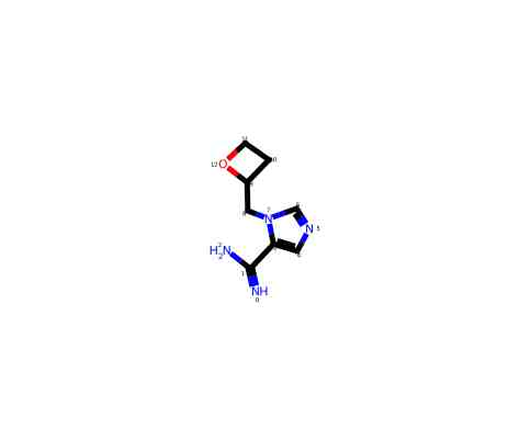 N=C(N)c1cncn1CC1CCO1